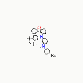 Cc1cc(N(C)c2ccc(C(C)(C)C)cc2)cc(N(c2ccc3c(c2)C(C)(C)CCC3(C)C)c2cccc3oc4ccccc4c23)c1